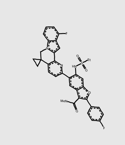 CCS(=O)(=O)Nc1cc2oc(-c3ccc(F)cc3)c(C(=O)NC)c2cc1-c1ccc2c(n1)-c1cc3c(F)cccc3n1CC21CC1